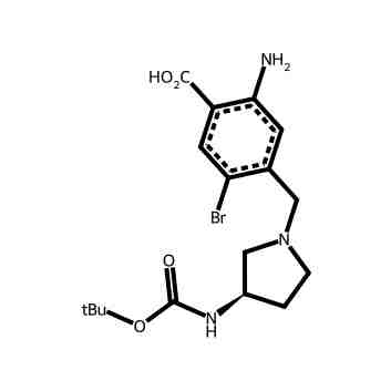 CC(C)(C)OC(=O)N[C@@H]1CCN(Cc2cc(N)c(C(=O)O)cc2Br)C1